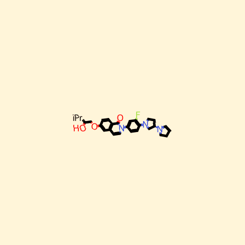 CC(C)C(O)COc1ccc2c(=O)n(-c3ccc(N4CC[C@@H](N5CCCC5)C4)c(F)c3)ccc2c1